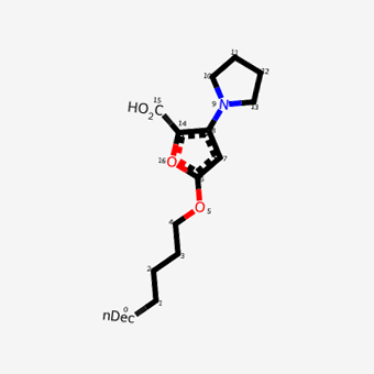 CCCCCCCCCCCCCCOc1cc(N2CCCC2)c(C(=O)O)o1